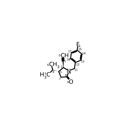 C#C[C@@H]1[C@@H](C(C)C)CC(=O)N1Cc1ccc(F)cc1